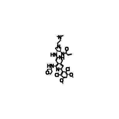 C=CC(=O)N[C@H]1CN(CCN(C)C)C[C@H]1Nc1cc2c(NC3CCOC3)nc(-c3c(Cl)c(OC)cc(OC)c3Cl)cc2cn1